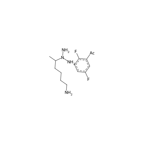 CC(=O)c1cc(F)ccc1F.CC(CCCCN)N(N)N